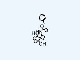 O=C(NC1CCC1(C(=O)O)C(=O)O)OCc1ccccc1